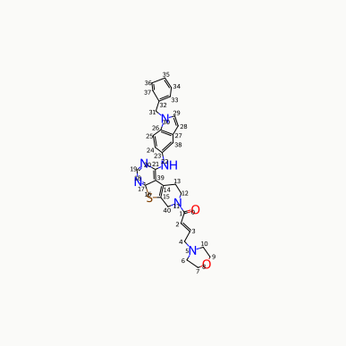 O=C(C=CCN1CCOCC1)N1CCc2c(sc3ncnc(Nc4ccc5c(ccn5Cc5ccccc5)c4)c23)C1